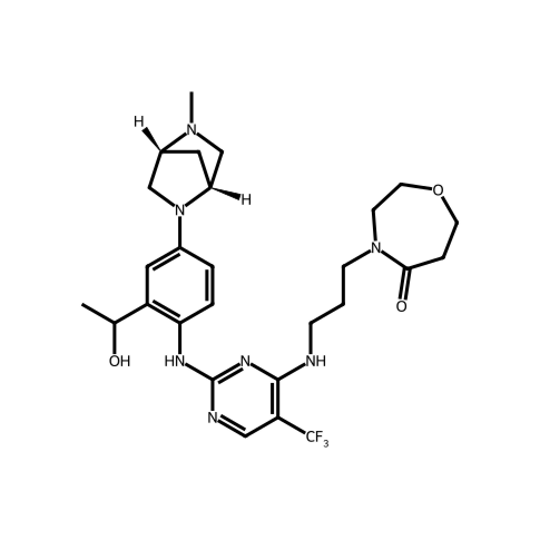 CC(O)c1cc(N2C[C@H]3C[C@@H]2CN3C)ccc1Nc1ncc(C(F)(F)F)c(NCCCN2CCOCCC2=O)n1